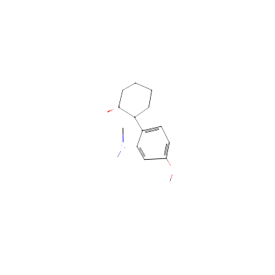 CNC[C@@]1(c2ccc(OC)cc2)CCCC[C@@H]1O